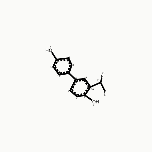 Oc1ccc(-c2ccc(O)c(C(F)F)c2)cc1